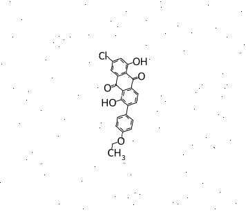 CCOc1ccc(-c2ccc3c(c2O)C(=O)c2cc(Cl)cc(O)c2C3=O)cc1